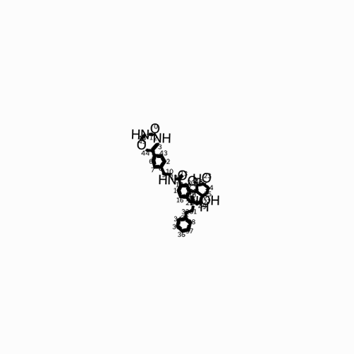 O=C1N/C=C(/c2ccc(CCNC(=O)c3ccc4c5c3O[C@H]3C(=O)CC[C@@]6(O)[C@@H](C4)N(CCc4ccccc4)CC[C@]536)cc2)COCN1